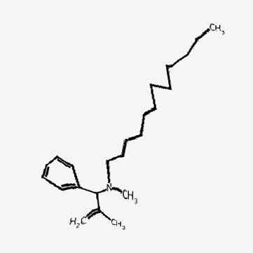 C=C(C)C(c1ccccc1)N(C)CCCCCCCCCCCC